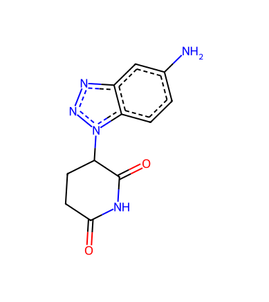 Nc1ccc2c(c1)nnn2C1CCC(=O)NC1=O